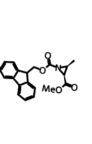 COC(=O)[C@@H]1[C@H](C)N1C(=O)OCC1c2ccccc2-c2ccccc21